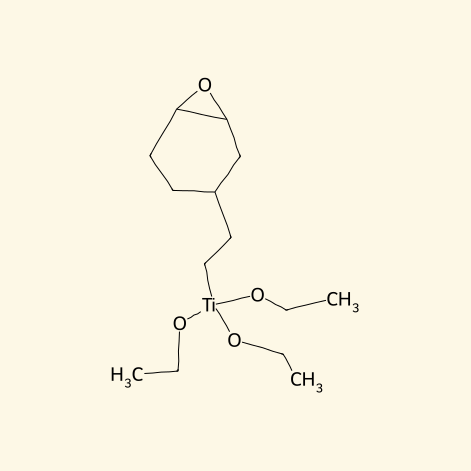 CC[O][Ti]([CH2]CC1CCC2OC2C1)([O]CC)[O]CC